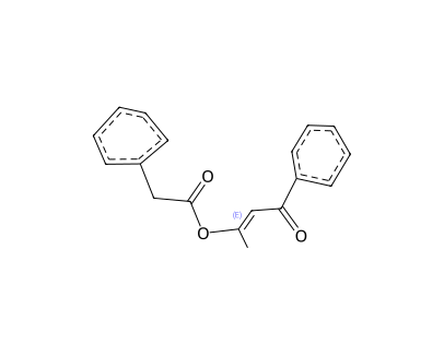 C/C(=C\C(=O)c1ccccc1)OC(=O)Cc1ccccc1